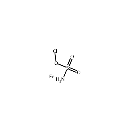 NS(=O)(=O)OCl.[Fe]